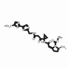 C[C@H]1CC/C(=C/C(=O)NC2(C(=O)CC(=O)NCc3nc(-c4nc(C(=O)O)cs4)cs3)CC2)N1C(=O)OC(C)(C)C